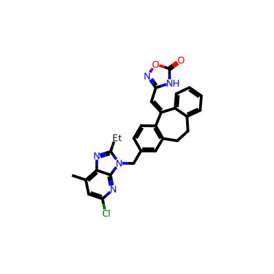 CCc1nc2c(C)cc(Cl)nc2n1Cc1ccc2c(c1)CCc1ccccc1/C2=C\c1noc(=O)[nH]1